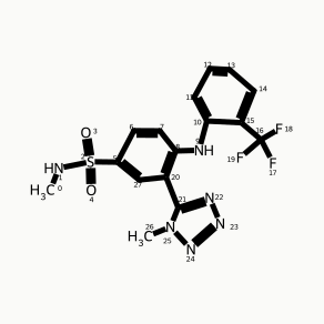 CNS(=O)(=O)c1ccc(Nc2ccccc2C(F)(F)F)c(-c2nnnn2C)c1